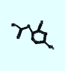 Cc1ccn(OC(=O)C(C)C)c(=S)n1